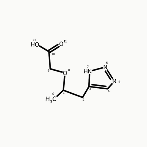 CC(Cc1cnn[nH]1)OCC(=O)O